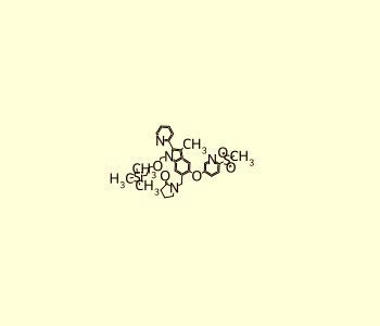 Cc1c(-c2ccccn2)n(COCC[Si](C)(C)C)c2cc(CN3CCCC3=O)c(Oc3ccc(S(C)(=O)=O)nc3)cc12